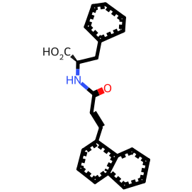 O=C(C=Cc1cccc2ccccc12)N[C@H](Cc1ccccc1)C(=O)O